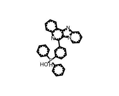 O[PH](c1ccccc1)(c1ccccc1)c1cccc(-c2nc3ccccc3c3nc4ccccn4c23)c1